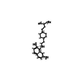 CCCCC(CCC)CCN1CCC(CCNc2c(O)cnc3ccc(O)cc23)CC1